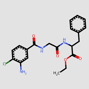 CCOC(=O)C(Cc1ccccc1)NC(=O)CNC(=O)c1ccc(Cl)c(N)c1